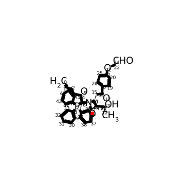 C=CCCC(=O)C(N1C(=O)[C@H]([C@@H](C)O)[C@H]1CC(=O)c1ccc(OCC=O)cc1)=P(c1ccccc1)(c1ccccc1)c1ccccc1